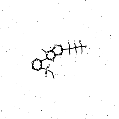 CCS(=O)(=O)c1ccccc1-c1nc2cc(C(F)(F)C(F)(F)C(F)(F)F)cnc2n1C